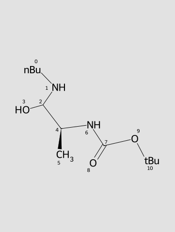 CCCCNC(O)[C@H](C)NC(=O)OC(C)(C)C